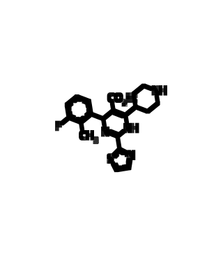 CCOC(=O)C1=C(C2CCNCC2)NC(c2nccs2)=NC1c1cccc(F)c1C